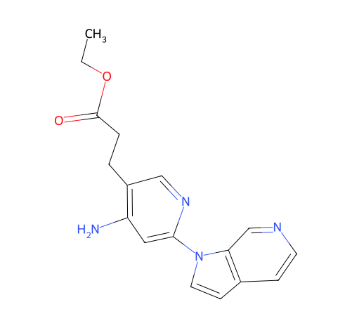 CCOC(=O)CCc1cnc(-n2ccc3ccncc32)cc1N